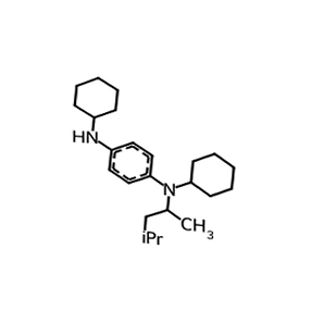 CC(C)CC(C)N(c1ccc(NC2CCCCC2)cc1)C1CCCCC1